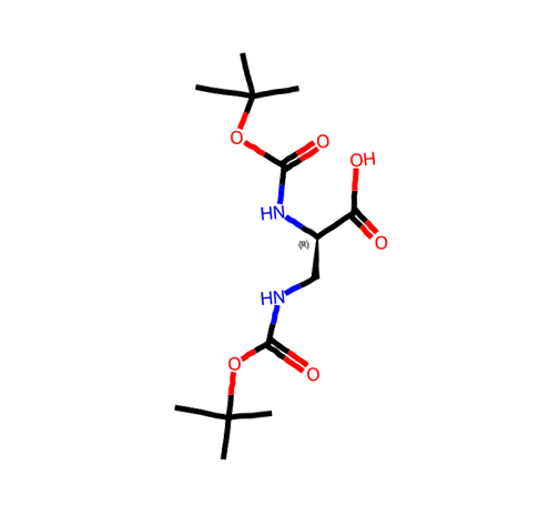 CC(C)(C)OC(=O)NC[C@@H](NC(=O)OC(C)(C)C)C(=O)O